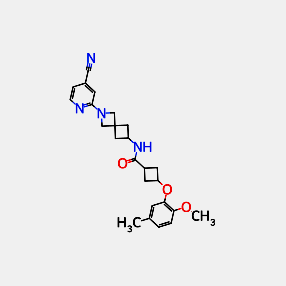 COc1ccc(C)cc1OC1CC(C(=O)NC2CC3(C2)CN(c2cc(C#N)ccn2)C3)C1